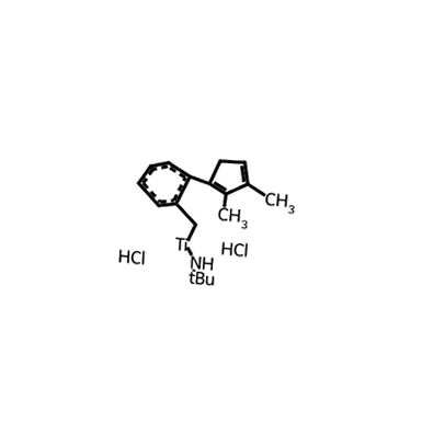 CC1=CCC(c2ccccc2[CH2][Ti][NH]C(C)(C)C)=C1C.Cl.Cl